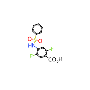 O=C(O)c1cc(F)c(NS(=O)(=O)c2ccccc2)cc1F